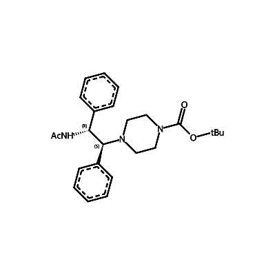 CC(=O)N[C@H](c1ccccc1)[C@H](c1ccccc1)N1CCN(C(=O)OC(C)(C)C)CC1